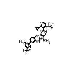 Cn1cc(C(F)(F)F)nc1-c1ccc(Cn2c(=N)n(C)c3cnc(-c4c(OC(F)(F)F)ccnc4C4CC4)nc32)cc1